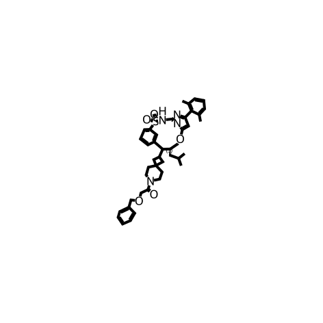 Cc1cccc(C)c1-c1cc2nc(n1)NS(=O)(=O)c1cccc(c1)C(C1CC3(CCN(C(=O)COCc4ccccc4)CC3)C1)[C@H](CC(C)C)CO2